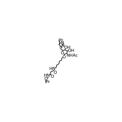 CC(=O)NC1C(OCCCCCCNC(=O)CC(=O)NCOC(C)C)OC(Cn2cc(C(C)C)nn2)C(O)C1O